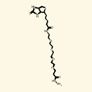 NNC(=O)CCOCCOCCOCCOCCNC(=O)CCCCC1SCC2NC(=O)NC21